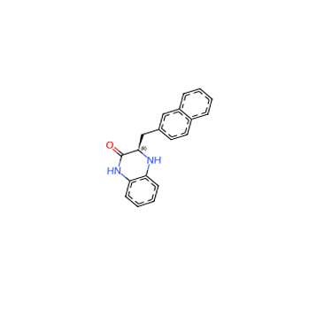 O=C1Nc2ccccc2N[C@@H]1Cc1ccc2ccccc2c1